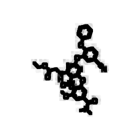 CCOC(=O)CNc1nc(Oc2cc(C#N)ccc2Oc2ccccc2)nc(Oc2cc(OC)cc(C(=O)N(C)C)c2)c1[N+](=O)[O-]